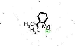 C=C(C)c1cccc[c]1[Mg][Br]